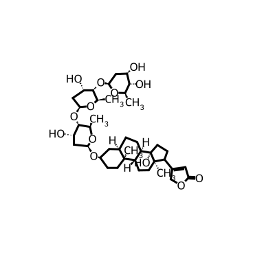 C[C@H]1O[C@@H](O[C@H]2[C@@H](O)C[C@H](O[C@H]3[C@@H](O)C[C@H](O[C@H]4CC[C@@]5(C)[C@H](CC[C@@H]6[C@@H]5CC[C@]5(C)C(C7=CC(=O)OC7)CC[C@]65O)C4)O[C@@H]3C)O[C@@H]2C)C[C@H](O)[C@@H]1O